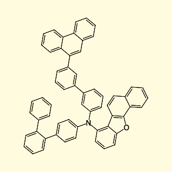 c1ccc(-c2ccccc2-c2ccc(N(c3cccc(-c4cccc(-c5cc6ccccc6c6ccccc56)c4)c3)c3cccc4oc5c6ccccc6ccc5c34)cc2)cc1